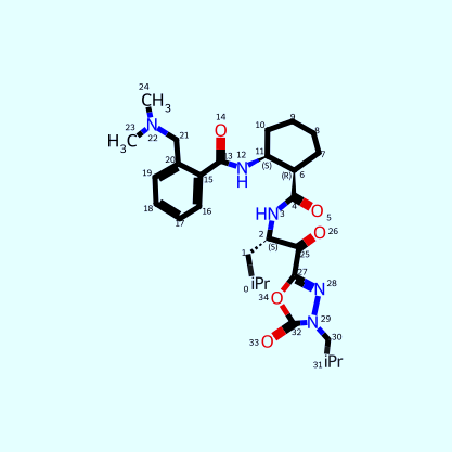 CC(C)C[C@H](NC(=O)[C@@H]1CCCC[C@@H]1NC(=O)c1ccccc1CN(C)C)C(=O)c1nn(CC(C)C)c(=O)o1